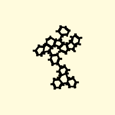 c1ccc(-n2c3ccc4c5ccccc5n(-c5ccc(-c6ccc7c8ccccc8c8ccccc8c7c6)cc5)c4c3c3ccc4oc5ccccc5c4c32)cc1